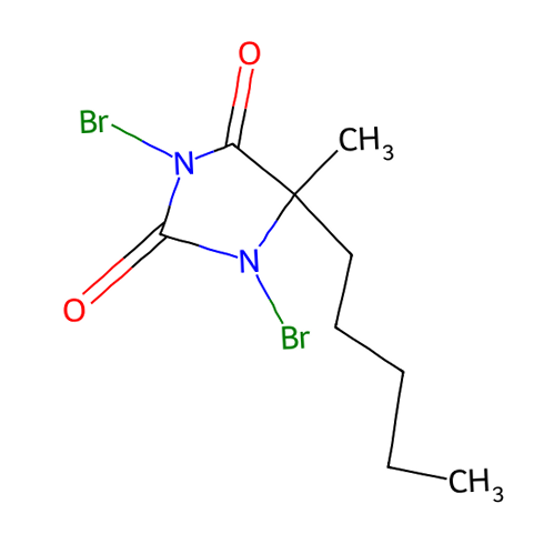 CCCCCC1(C)C(=O)N(Br)C(=O)N1Br